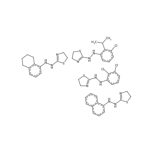 CC(C)c1c(Cl)cccc1NNC1=NCCS1.Clc1cccc(NNC2=NCCS2)c1Cl.c1cc2c(c(NNC3=NCCS3)c1)CCCC2.c1ccc2c(NNC3=NCCS3)cccc2c1